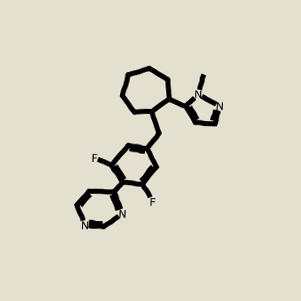 Cn1nccc1C1CCCCCC1Cc1cc(F)c(-c2ccncn2)c(F)c1